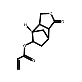 C=CC(=O)OC1CC2C[C@H]1C1COC(=O)C21